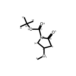 COC1CC(=O)N(C(=O)OC(C)(C)C)C1